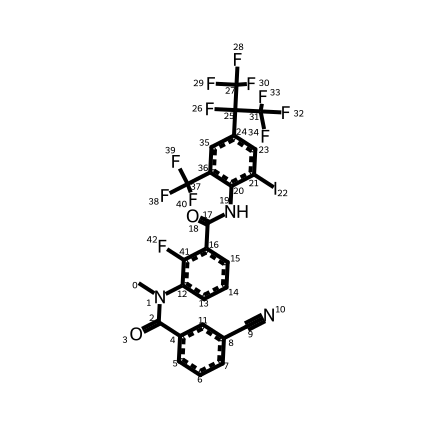 CN(C(=O)c1cccc(C#N)c1)c1cccc(C(=O)Nc2c(I)cc(C(F)(C(F)(F)F)C(F)(F)F)cc2C(F)(F)F)c1F